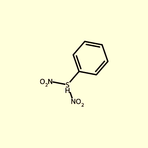 O=[N+]([O-])[SH](c1ccccc1)[N+](=O)[O-]